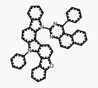 c1ccc(-c2nc(-n3c4ccccc4c4ccc5c(c6ccc7oc8ccccc8c7c6n5-c5ccccc5)c43)nc3ccc4ccccc4c23)cc1